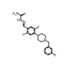 NC(=S)N/N=C/c1cc(F)c(N2CCN(Cc3cccc(F)c3)CC2)cc1F